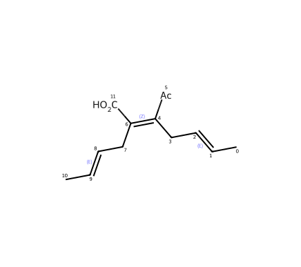 C/C=C/C/C(C(C)=O)=C(\C/C=C/C)C(=O)O